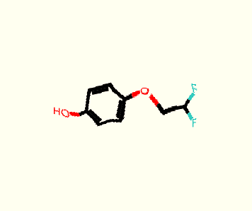 Oc1ccc(OCC(F)F)cc1